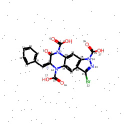 O=C(O)N1C(=O)/C(=C\c2ccccc2)N(C(=O)O)c2cc3c(Br)nn(C(=O)O)c3cc21